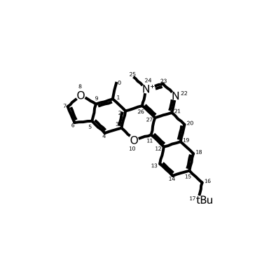 Cc1c2c(cc3ccoc13)Oc1c3ccc(CC(C)(C)C)cc3cc3nc[n+](C)c-2c13